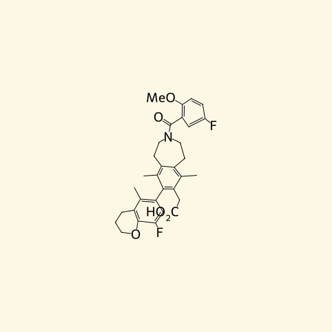 COc1ccc(F)cc1C(=O)N1CCc2c(C)c(CC(=O)O)c(-c3cc(F)c4c(c3C)CCCO4)c(C)c2CC1